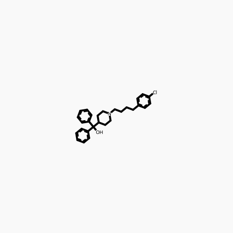 OC(c1ccccc1)(c1ccccc1)C1CCN(CCCCc2ccc(Cl)cc2)CC1